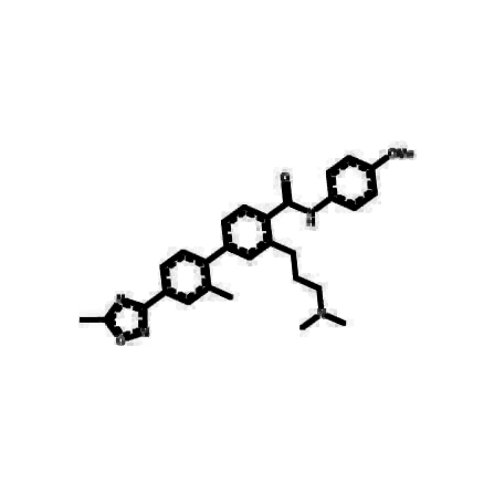 COc1ccc(NC(=O)c2ccc(-c3ccc(-c4noc(C)n4)cc3C)cc2CCCN(C)C)cc1